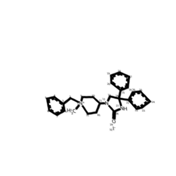 C[N+]1(Cc2ccccc2)CCC(N2CC(c3ccccc3)(c3ccccc3)NC2=O)CC1.[I-]